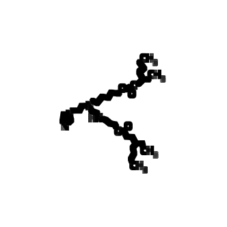 CC/C=C/C(CC)CCC(=O)OCCCCCCN(CCCn1ccnc1)CCNCCCOC(=O)CCC(CC)CCCC